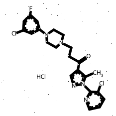 Cc1c(C(=O)CCN2CCN(c3cc(F)cc(Cl)c3)CC2)cnn1-c1ncccc1Cl.Cl